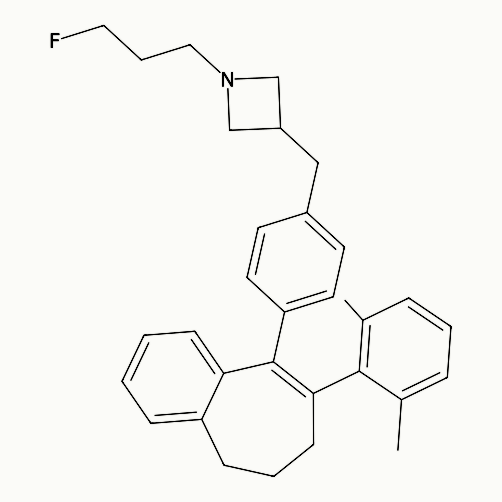 Cc1cccc(C)c1C1=C(c2ccc(CC3CN(CCCF)C3)cc2)c2ccccc2CCC1